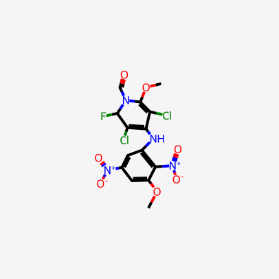 COC1=C(Cl)C(Nc2cc([N+](=O)[O-])cc(OC)c2[N+](=O)[O-])=C(Cl)C(F)N1C=O